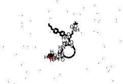 CCCCc1ccc(-c2ccc(C(=O)N[C@@H](CCCCNC(=O)OC(C)(C)C)C(=O)N[C@H]3COCCCCCCCC[C@@H](C(=O)N[C@@H](C)B4O[C@@H]5C[C@@H]6C[C@@H](C6(C)C)[C@]5(C)O4)NC(=O)[C@H](C)NC3=O)cc2)cc1